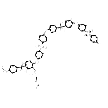 COCCOCc1cc(C(C)(C)c2ccc(OC)cc2)ccc1Oc1ccc(S(=O)(=O)c2ccc(Oc3ccc(C(C)(C)c4ccc(Oc5ccc(S(=O)(=O)c6ccc(C)cc6)cc5)cc4)cc3)cc2)cc1